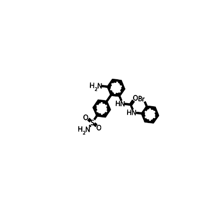 Nc1cccc(NC(=O)Nc2ccccc2Br)c1-c1ccc(S(N)(=O)=O)cc1